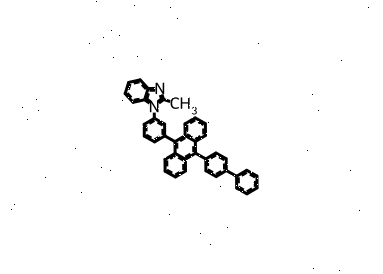 Cc1nc2ccccc2n1-c1cccc(-c2c3ccccc3c(-c3ccc(-c4ccccc4)cc3)c3ccccc23)c1